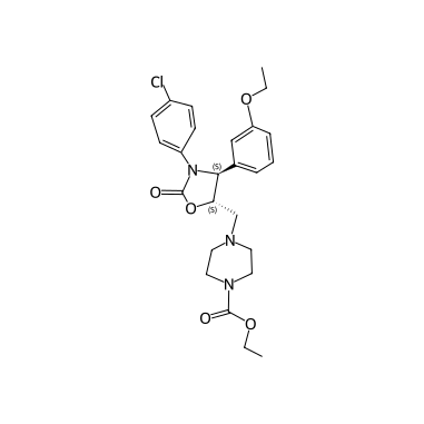 CCOC(=O)N1CCN(C[C@@H]2OC(=O)N(c3ccc(Cl)cc3)[C@H]2c2cccc(OCC)c2)CC1